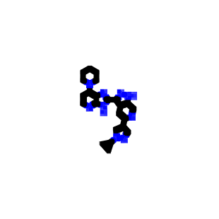 c1cc(N2CCCCC2)c2nc(-c3n[nH]c4cnc(-c5cnn(C6CC6)c5)cc34)[nH]c2n1